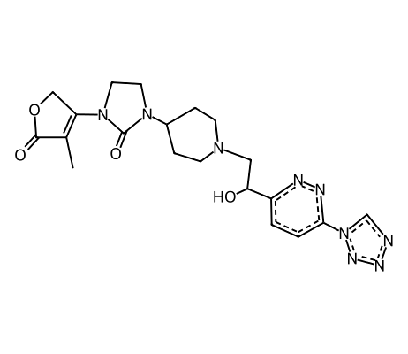 CC1=C(N2CCN(C3CCN(CC(O)c4ccc(-n5cnnn5)nn4)CC3)C2=O)COC1=O